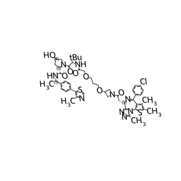 Cc1ncsc1-c1ccc([C@H](C)NC(=O)[C@@H]2C[C@@H](O)CN2C(=O)C(NC(=O)COCCCOC2CN(C(=O)C[C@@H]3N=C(c4ccc(Cl)cc4)c4c(sc(C)c4C)-n4c(C)nnc43)C2)C(C)(C)C)cc1